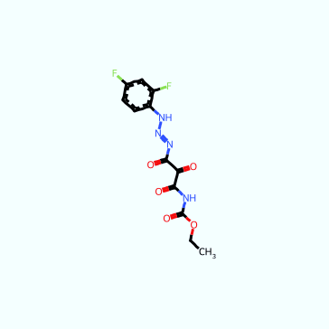 CCOC(=O)NC(=O)C(=O)C(=O)N=NNc1ccc(F)cc1F